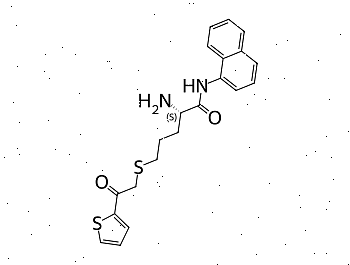 N[C@@H](CCCSCC(=O)c1cccs1)C(=O)Nc1cccc2ccccc12